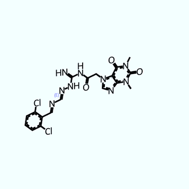 Cn1c(=O)c2c(ncn2CC(=O)NC(=N)N/N=C/N=Cc2c(Cl)cccc2Cl)n(C)c1=O